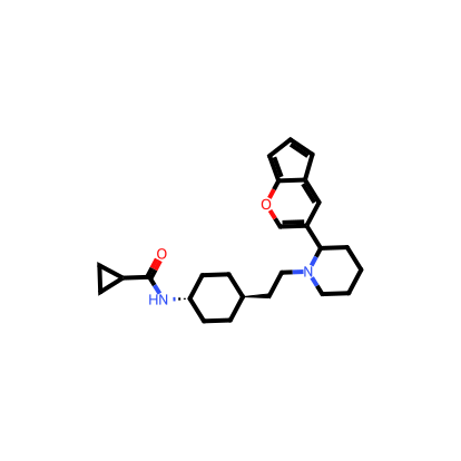 O=C(N[C@H]1CC[C@H](CCN2CCCCC2c2coc3cccc-3c2)CC1)C1CC1